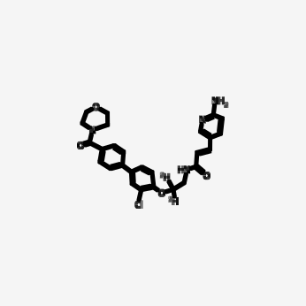 [2H]C([2H])(CNC(=O)C=Cc1ccc(N)nc1)Oc1ccc(-c2ccc(C(=O)N3CCOCC3)cc2)cc1Cl